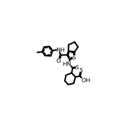 Cc1ccc(NC(=O)c2c(NC(=S)C3CCCCC3C(O)=S)sc3c2CCC3)cc1